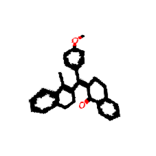 COc1ccc(/C(C2=C(C)c3ccccc3CC2)=C2\CCc3ccccc3C2=O)cc1